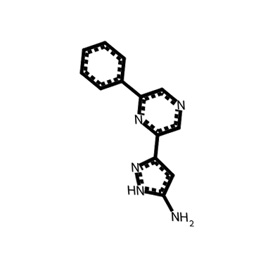 Nc1cc(-c2cncc(-c3ccccc3)n2)n[nH]1